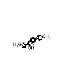 CN1CCN(c2ccc3c(c2)OC(O)C(c2ccn(C)n2)=C3)CC1